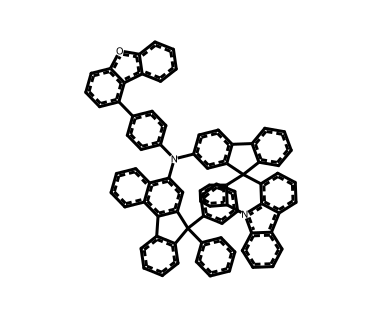 c1ccc(C2(c3ccccc3)c3ccccc3-c3c2cc(N(c2ccc(-c4cccc5oc6ccccc6c45)cc2)c2ccc4c(c2)C2(c5ccccc5-4)c4ccccc4-n4c5ccccc5c5cccc2c54)c2ccccc32)cc1